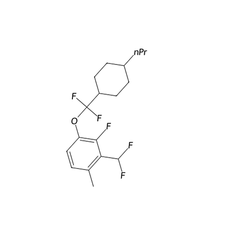 CCCC1CCC(C(F)(F)Oc2ccc(C)c(C(F)F)c2F)CC1